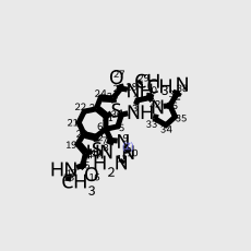 C=C(CNCCC1(C(=N)/N=N\N)c2sc(C(=O)NC)cc2CCc2cc(C(=O)NC)sc21)N1CCCC1C#N